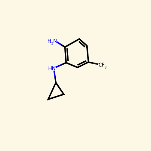 Nc1ccc(C(F)(F)F)cc1NC1CC1